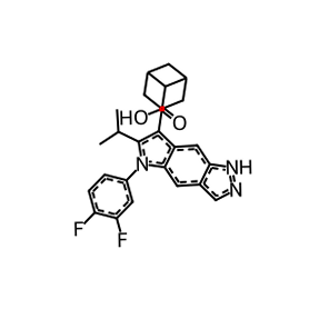 CC(C)c1c(C2CC3CC(C2)C3C(=O)O)c2cc3[nH]ncc3cc2n1-c1ccc(F)c(F)c1